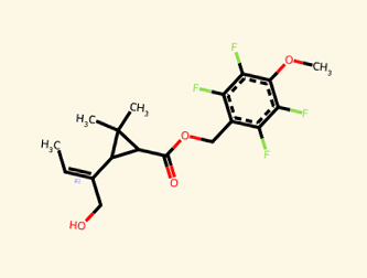 C/C=C(/CO)C1C(C(=O)OCc2c(F)c(F)c(OC)c(F)c2F)C1(C)C